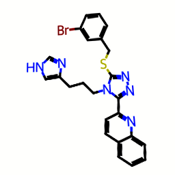 Brc1cccc(CSc2nnc(-c3ccc4ccccc4n3)n2CCCc2c[nH]cn2)c1